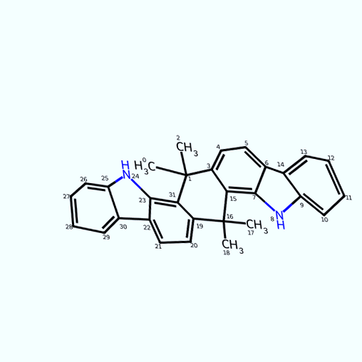 CC1(C)c2ccc3c([nH]c4ccccc43)c2C(C)(C)c2ccc3c([nH]c4ccccc43)c21